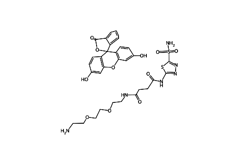 NCCOCCOCCNC(=O)CCC(=O)Nc1nnc(S(N)(=O)=O)s1.O=C1OC2(c3ccc(O)cc3Oc3cc(O)ccc32)c2ccccc21